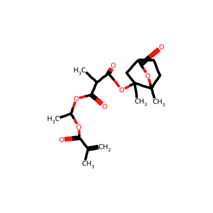 C=C(C)C(=O)OC(C)OC(=O)C(C)C(=O)OC1(C)CC2CCC1(C)OC2=O